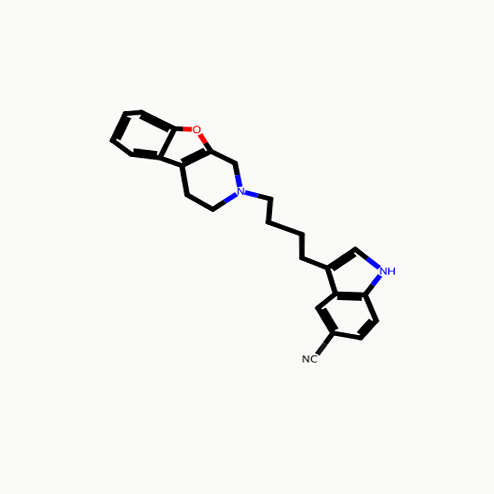 N#Cc1ccc2[nH]cc(CCCCN3CCc4c(oc5ccccc45)C3)c2c1